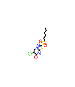 CCCCCCS(=O)(=O)C1=NN2CC(Cl)C(=O)N=C2S1